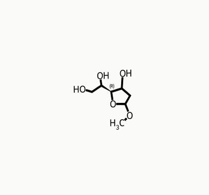 COC1CC(O)[C@H](C(O)CO)O1